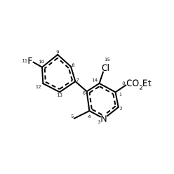 CCOC(=O)c1cnc(C)c(-c2ccc(F)cc2)c1Cl